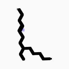 [CH2]CC/C=C/CCC(CC)CCCC[CH2]